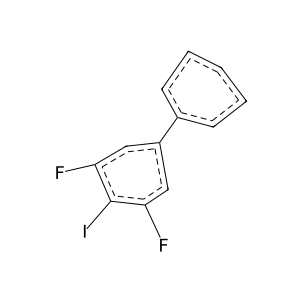 Fc1cc(-c2ccccc2)cc(F)c1I